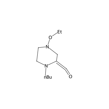 CCCCN1CCN(OCC)CC1=C=O